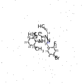 C#CCN(/N=C/c1ccc(Br)cc1F)C(=C)Nc1c(C)cccc1C